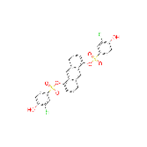 O=S(=O)(Oc1cccc2cc3c(OS(=O)(=O)c4ccc(O)c(Cl)c4)cccc3cc12)c1ccc(O)c(Cl)c1